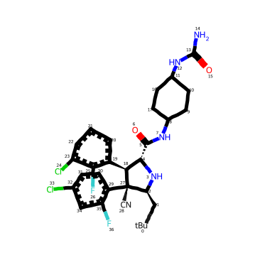 CC(C)(C)C[C@@H]1N[C@@H](C(=O)NC2CCC(NC(N)=O)CC2)[C@H](c2cccc(Cl)c2F)[C@@]1(C#N)c1ccc(Cl)cc1F